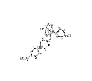 CCOC(=O)c1ccc(N2CCN(CC3=C(c4ccc(Cl)cc4)C4C[C@H](C3)C4(C)C)CC2)cc1